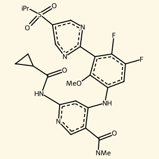 CNC(=O)c1cnc(NC(=O)C2CC2)cc1Nc1cc(F)c(F)c(-c2ncc(S(=O)(=O)C(C)C)cn2)c1OC